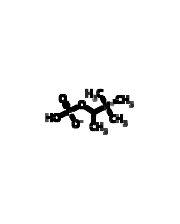 CC(OP(=O)([O-])O)[N+](C)(C)C